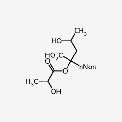 CCCCCCCCCC(CC(C)O)(OC(=O)C(C)O)C(=O)O